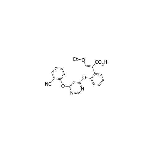 CCOC=C(C(=O)O)c1ccccc1Oc1cc(Oc2ccccc2C#N)ncn1